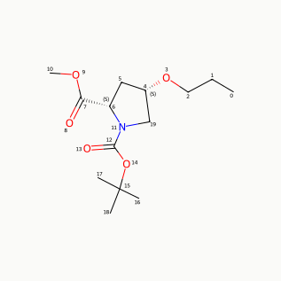 CCCO[C@H]1C[C@@H](C(=O)OC)N(C(=O)OC(C)(C)C)C1